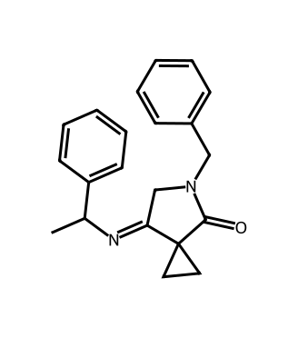 CC(N=C1CN(Cc2ccccc2)C(=O)C12CC2)c1ccccc1